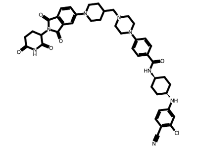 N#Cc1ccc(N[C@H]2CC[C@H](NC(=O)c3ccc(N4CCN(CC5CCN(c6ccc7c(c6)C(=O)N(C6CCC(=O)NC6=O)C7=O)CC5)CC4)cc3)CC2)cc1Cl